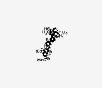 CCn1c(C2=C([C@H](C)OC)N=CCC2)c(CC(C)(C)CO)c2cc(C3=C(F)CCN(C[C@H](NC(=O)OC(C)(C)C)C(=O)N4CCC[C@@H](C(=O)OC)N4)C3)ccc21